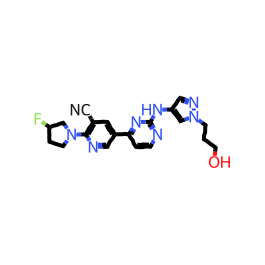 N#Cc1cc(-c2ccnc(Nc3cnn(CCCO)c3)n2)cnc1N1CCC(F)C1